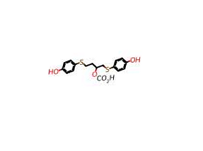 O=C(O)OC(CCSc1ccc(O)cc1)CSc1ccc(O)cc1